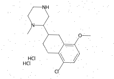 COc1ccc(Cl)c2c1CC(C1CNCCN1C)CC2.Cl.Cl